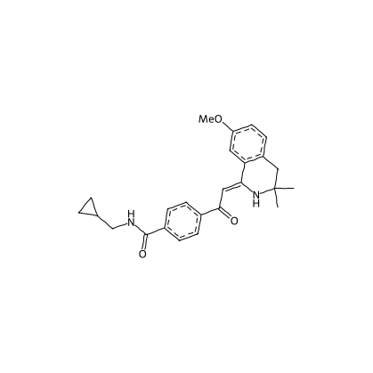 COc1ccc2c(c1)/C(=C/C(=O)c1ccc(C(=O)NCC3CC3)cc1)NC(C)(C)C2